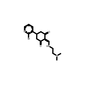 CN(C)CCNC=C1C(=O)CC(c2cccnc2Br)CC1=O